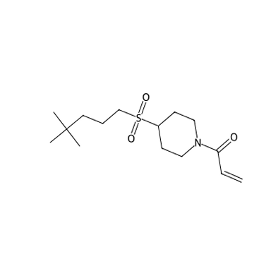 C=CC(=O)N1CCC(S(=O)(=O)CCCC(C)(C)C)CC1